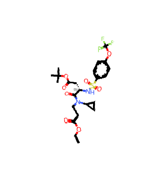 CCOC(=O)CCN(C(=O)[C@H](CC(=O)OC(C)(C)C)NS(=O)(=O)c1ccc(OC(F)(F)F)cc1)C1CC1